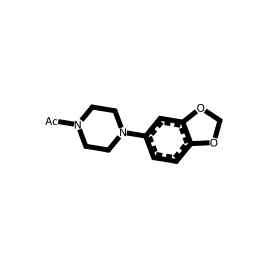 CC(=O)N1CCN(c2ccc3c(c2)OCO3)CC1